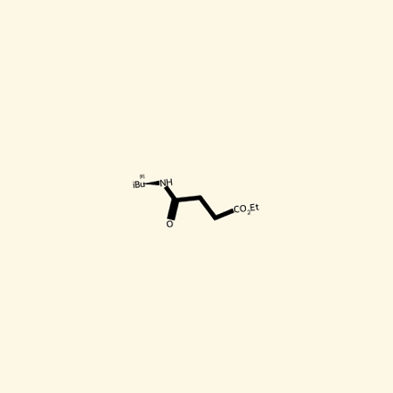 CCOC(=O)CCC(=O)N[C@H](C)CC